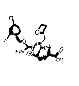 CN(Nc1ccc(C(=O)O)nc1NC[C@@H]1CCO1)C(=N)OCc1ccc(Cl)cc1F